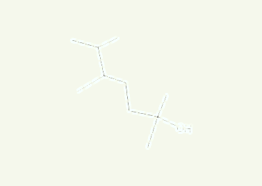 CC(C)C(C)CCC(C)(C)O